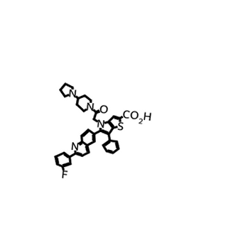 O=C(O)c1cc2c(s1)c(-c1ccccc1)c(-c1ccc3nc(-c4cccc(F)c4)ccc3c1)n2CC(=O)N1CCC(N2CCCC2)CC1